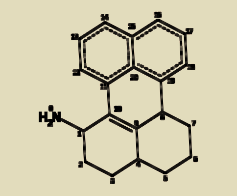 NC1CCC2CCCC3C2=C1c1cccc2cccc3c12